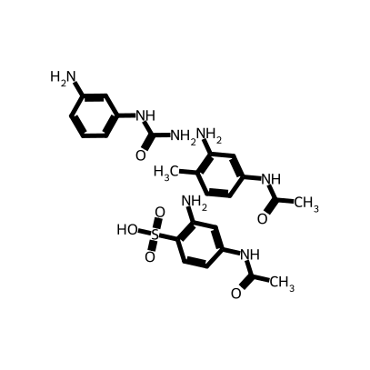 CC(=O)Nc1ccc(C)c(N)c1.CC(=O)Nc1ccc(S(=O)(=O)O)c(N)c1.NC(=O)Nc1cccc(N)c1